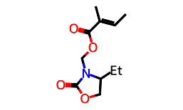 CC=C(C)C(=O)OCN1C(=O)OCC1CC